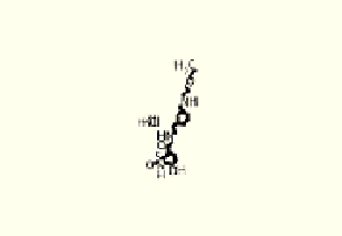 CCCOCCCNCc1cccc(CCNCC(O)c2ccc(O)c3[nH]c(=O)sc23)c1.Cl.Cl